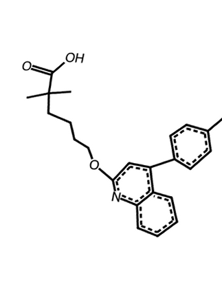 Cc1ccc(-c2cc(OCCCCC(C)(C)C(=O)O)nc3ccccc23)cc1